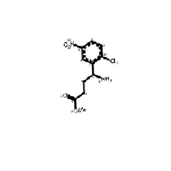 COC(=O)CCC(N)c1cc([N+](=O)[O-])ccc1Cl